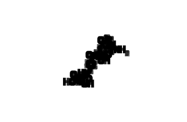 COCN([C@H](CNC(=O)c1ccc(CNC(=O)c2cc(=O)c(O)cn2O)cc1)CNC(=O)C1(c2csc(N)n2)CC1)S(=O)(=O)O